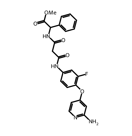 COC(=O)C(NC(=O)CC(=O)Nc1ccc(Oc2ccnc(N)c2)c(F)c1)c1ccccc1